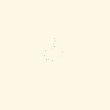 C=CC(=O)OC.CC(O)CO